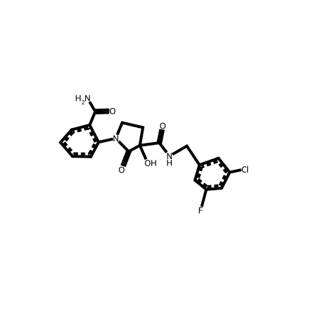 NC(=O)c1ccccc1N1CCC(O)(C(=O)NCc2cc(F)cc(Cl)c2)C1=O